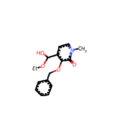 CCOC(O)c1ccn(C)c(=O)c1OCc1ccccc1